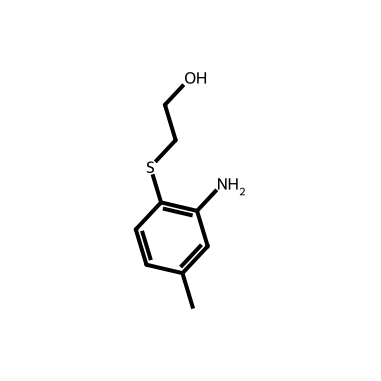 Cc1ccc(SCCO)c(N)c1